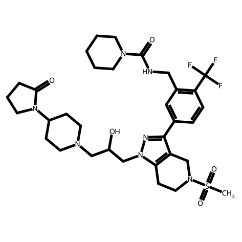 CS(=O)(=O)N1CCc2c(c(-c3ccc(C(F)(F)F)c(CNC(=O)N4CCCCC4)c3)nn2CC(O)CN2CCC(N3CCCC3=O)CC2)C1